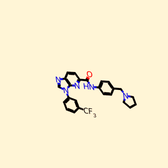 O=C(Nc1ccc(CN2CCCC2)cc1)c1ccc2ncn(-c3cccc(C(F)(F)F)c3)c2n1